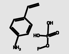 C=Cc1ccc(N)cc1.O=P(O)(O)OF